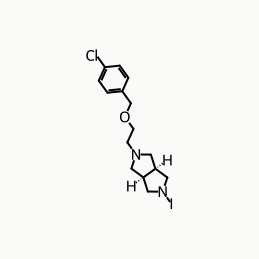 Clc1ccc(COCCN2C[C@H]3CN(I)C[C@H]3C2)cc1